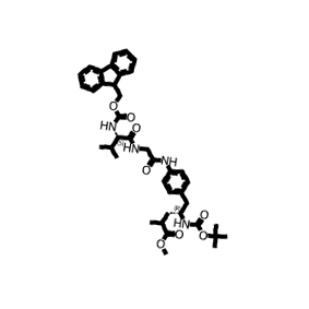 COC(=O)C(C)C[C@H](Cc1ccc(NC(=O)CNC(=O)[C@@H](NC(=O)OCC2c3ccccc3-c3ccccc32)C(C)C)cc1)NC(=O)OC(C)(C)C